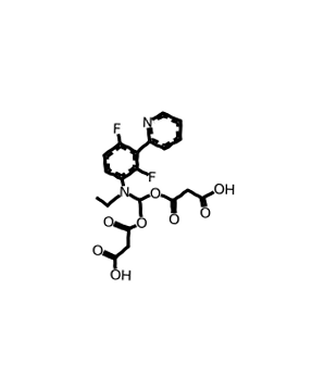 CCN(c1ccc(F)c(-c2ccccn2)c1F)C(OC(=O)CC(=O)O)OC(=O)CC(=O)O